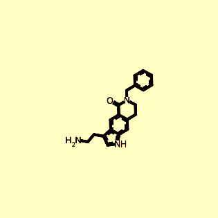 NCCc1c[nH]c2cc3c(cc12)C(=O)N(Cc1ccccc1)CC3